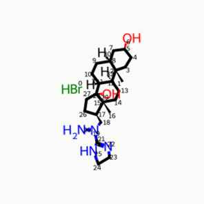 Br.C[C@]12CC[C@H](O)C[C@H]1CC[C@@H]1[C@@H]2CC[C@]2(C)[C@@H](CN(N)C3=NCCN3)CC[C@]12O